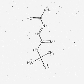 CC(C)(C)NC(=O)N=NC(N)=O